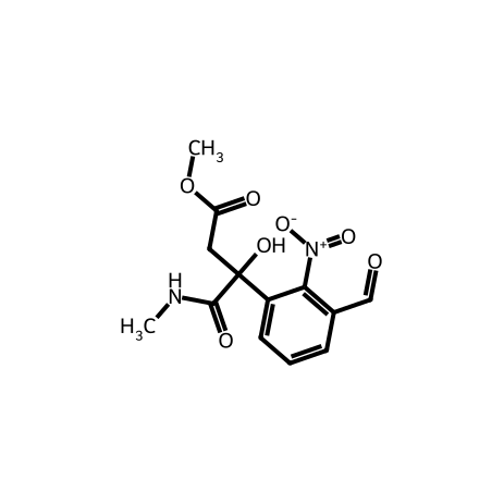 CNC(=O)C(O)(CC(=O)OC)c1cccc(C=O)c1[N+](=O)[O-]